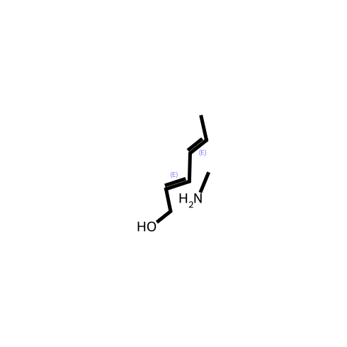 C/C=C/C=C/CO.CN